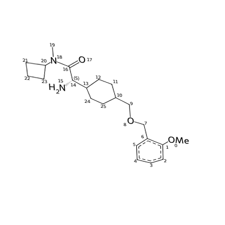 COc1ccccc1COCC1CCC([C@H](N)C(=O)N(C)C2CCC2)CC1